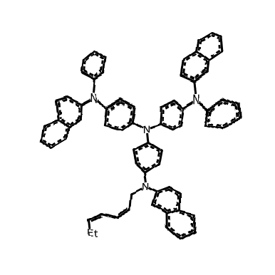 CC/C=C\C=C/CN(c1ccc(N(c2ccc(N(c3ccccc3)c3ccc4ccccc4c3)cc2)c2ccc(N(c3ccccc3)c3ccc4ccccc4c3)cc2)cc1)c1ccc2ccccc2c1